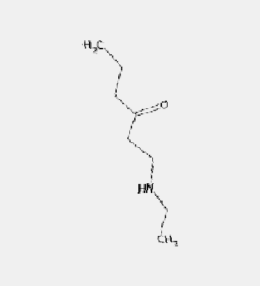 [CH2]CCC(=O)CCNCC